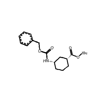 CC(C)(C)OC(=O)[C@@H]1CCC[C@H](NC(=O)OCc2ccccc2)C1